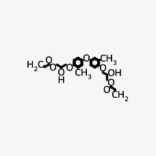 C=CC(=O)OCC(O)COc1ccc(Oc2ccc(OCC(O)COC(=O)C=C)c(C)c2)cc1C